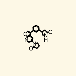 O=C1CC(c2cccc(-c3coc4ncc(N5CCCC5=O)cc34)c2)CN1